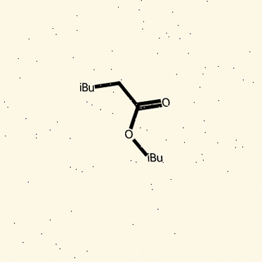 CCC(C)CC(=O)OC(C)CC